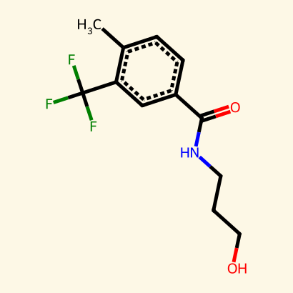 Cc1ccc(C(=O)NCCCO)cc1C(F)(F)F